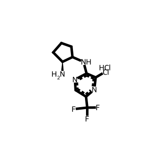 Cl.N[C@H]1CCCC1Nc1ncc(C(F)(F)F)nc1Cl